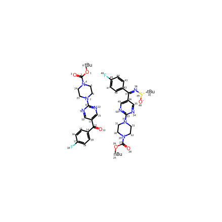 CC(C)(C)OC(=O)N1CCN(c2ncc(C(=O)c3ccc(F)cc3)cn2)CC1.CCCCOC(=O)N1CCN(c2ncc(/C(=N\[S@@+]([O-])C(C)(C)C)c3ccc(F)cc3)cn2)CC1